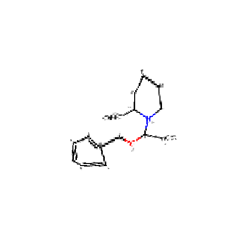 CCCCCCCCC(OCc1ccccc1)N1CCCCC1C=O